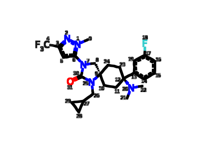 Cn1nc(C(F)(F)F)cc1N1C[C@]2(CC[C@](c3cccc(F)c3)(N(C)C)CC2)N(CC2CC2)C1=O